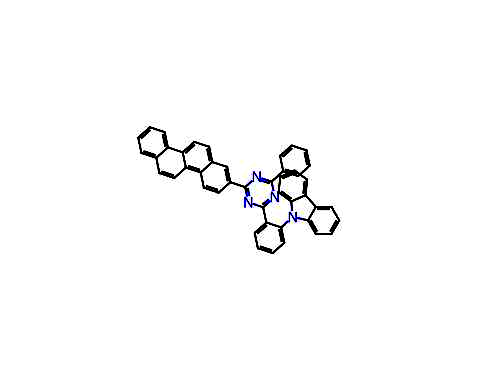 c1ccc(-c2nc(-c3ccc4c(ccc5c6ccccc6ccc45)c3)nc(-c3ccccc3-n3c4ccccc4c4ccccc43)n2)cc1